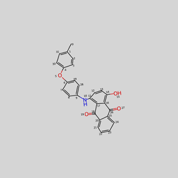 Cc1ccc(Oc2ccc(Nc3ccc(O)c4c3C(=O)c3ccccc3C4=O)cc2)cc1